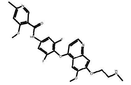 CNCCOc1cc2nccc(Oc3c(F)cc(NC(=O)c4cnc(C)cc4OC)cc3F)c2cc1OC